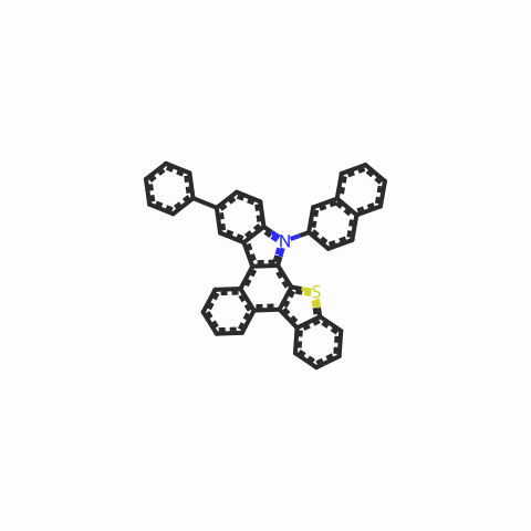 c1ccc(-c2ccc3c(c2)c2c4ccccc4c4c5ccccc5sc4c2n3-c2ccc3ccccc3c2)cc1